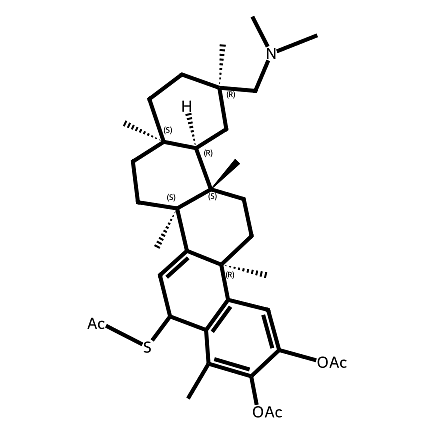 CC(=O)Oc1cc2c(c(C)c1OC(C)=O)C(SC(C)=O)C=C1[C@@]2(C)CC[C@@]2(C)[C@@H]3C[C@](C)(CN(C)C)CC[C@]3(C)CC[C@]12C